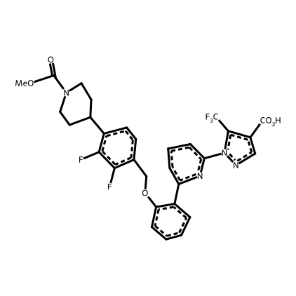 COC(=O)N1CCC(c2ccc(COc3ccccc3-c3cccc(-n4ncc(C(=O)O)c4C(F)(F)F)n3)c(F)c2F)CC1